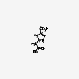 CCC(=O)N(C)c1ncc(C(=O)O)s1